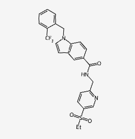 CCS(=O)(=O)c1ccc(CNC(=O)c2ccc3c(ccn3Cc3ccccc3C(F)(F)F)c2)nc1